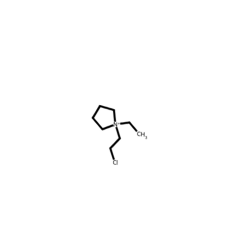 CC[N+]1(CCCl)CCCC1